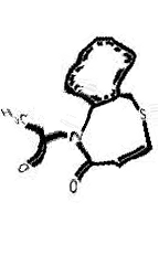 CC(=O)N1C(=O)C=CSc2ccccc21